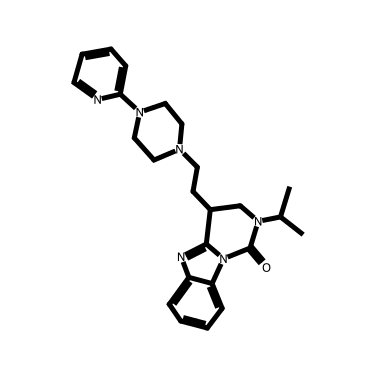 CC(C)N1CC(CCN2CCN(c3ccccn3)CC2)c2nc3ccccc3n2C1=O